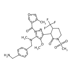 COc1c(C2C(=O)N(S(C)(=O)=O)CCC2C(F)(F)F)nn(C(=O)c2cocc2C)c1N(C)Cc1ccc(CN)cc1